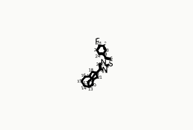 Fc1ccc(-c2csc3nc(C45CC6CCCC(C4)C(C6)C5)cn23)cc1